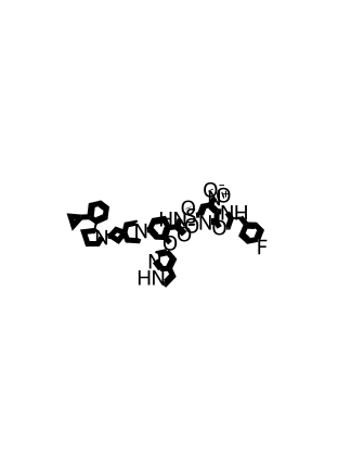 O=C(NS(=O)(=O)c1cc([N+](=O)[O-])c2c(n1)OC[C@H](Cc1ccc(F)cc1)N2)c1ccc(N2CCC3(CC2)CC(N2CCC[C@H]2c2ccccc2C2CC2)C3)cc1Oc1cnc2[nH]ccc2c1